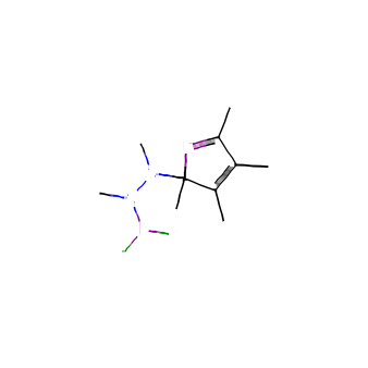 CC1=PC(C)(N(C)N(C)P(Cl)Cl)C(C)=C1C